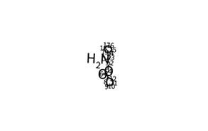 N[C@H](CCOC(=O)c1ccccc1)Cc1ccccc1